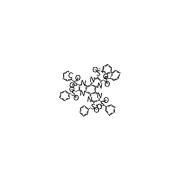 O=S(=O)(c1ccccc1)c1nc2c(nc1[S+]([O-])c1ccccc1)c1nc(S(=O)(=O)c3ccccc3)c(S(=O)(=O)c3ccccc3)nc1c1nc([S+]([O-])c3ccccc3)c(S(=O)(=O)c3ccccc3)nc12